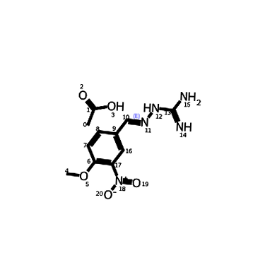 CC(=O)O.COc1ccc(/C=N/NC(=N)N)cc1[N+](=O)[O-]